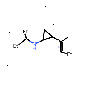 CC/C=C(\C)C1CC1NC(CC)CC